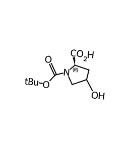 CC(C)(C)OC(=O)N1CC(O)C[C@@H]1C(=O)O